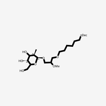 CCCCCCCCCCCCCCCCOCC(CO[C@H]1OC(CO)[C@H](O)C(O)[C@H]1C)OC